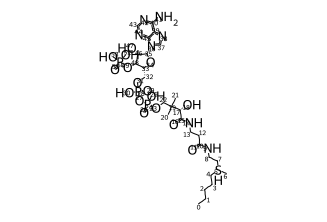 CCCCC[SH](C)CCNC(=O)CCNC(=O)[C@@H](O)C(C)(C)COP(=O)(O)OP(=O)(O)OC[C@H]1O[C@@H](n2cnc3c(N)ncnc32)[C@H](O)[C@@H]1OP(=O)(O)O